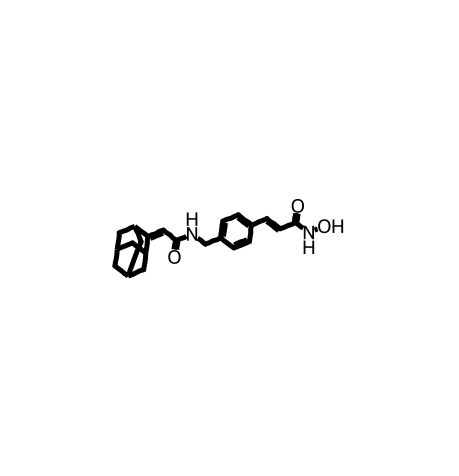 O=C(C=C1C2CC3CC(C2)CC1C3)NCc1ccc(/C=C/C(=O)NO)cc1